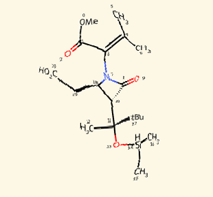 COC(=O)C(=C(C)C)N1C(=O)[C@H]([C@@](C)(O[SiH](C)C)C(C)(C)C)[C@H]1CC(=O)O